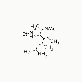 C=CC(C(C)CC(C)N)C(CNCC)C(C)NC